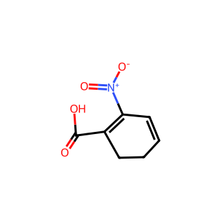 O=C(O)C1=C([N+](=O)[O-])C=CCC1